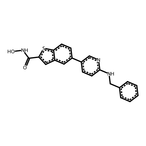 O=C(NO)c1cc2cc(-c3ccc(NCc4ccccc4)nc3)ccc2s1